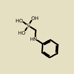 O[Si](O)(O)CNc1ccccc1